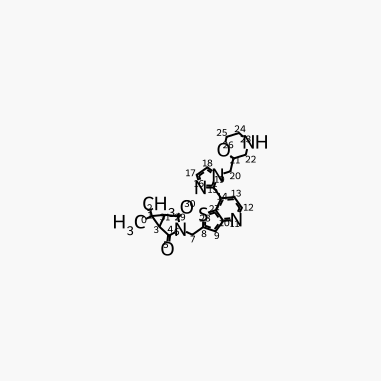 CC1(C)C2C(=O)N(Cc3cc4nccc(-c5nccn5CC5CNCCO5)c4s3)C(=O)C21